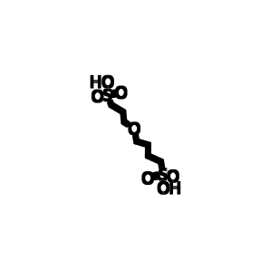 O=S(=O)(O)CCCCOCCCS(=O)(=O)O